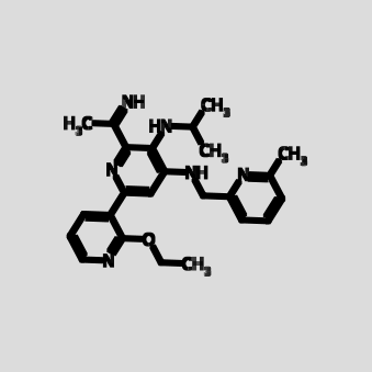 CCOc1ncccc1-c1cc(NCc2cccc(C)n2)c(NC(C)C)c(C(C)=N)n1